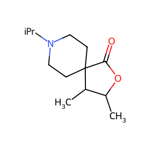 CC1OC(=O)C2(CCN(C(C)C)CC2)C1C